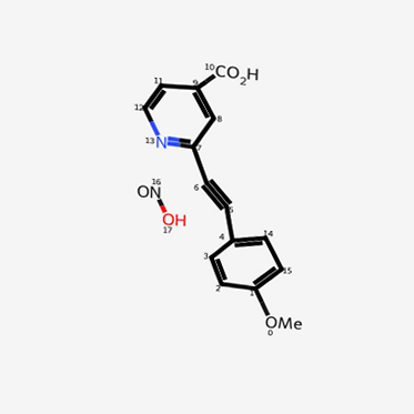 COc1ccc(C#Cc2cc(C(=O)O)ccn2)cc1.O=NO